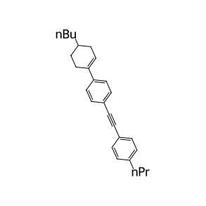 CCCCC1CC=C(c2ccc(C#Cc3ccc(CCC)cc3)cc2)CC1